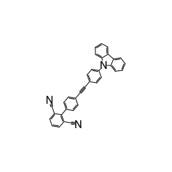 N#Cc1cccc(C#N)c1-c1ccc(C#Cc2ccc(-n3c4ccccc4c4ccccc43)cc2)cc1